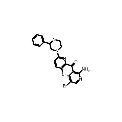 Nc1ncc(Br)cc1C(=O)c1nc(N2CCNC(c3ccccc3)C2)ccc1C(F)(F)F